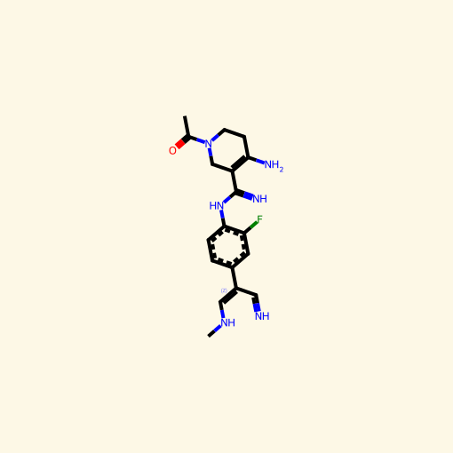 CN/C=C(\C=N)c1ccc(NC(=N)C2=C(N)CCN(C(C)=O)C2)c(F)c1